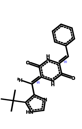 [2H]/C(c1nc[nH]c1C(C)(C)C)=c1/[nH]c(=O)/c(=C/c2ccccc2)[nH]c1=O